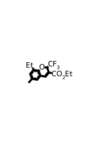 CCOC(=O)C1=Cc2cc(C)cc(CC)c2OC1C(F)(F)F